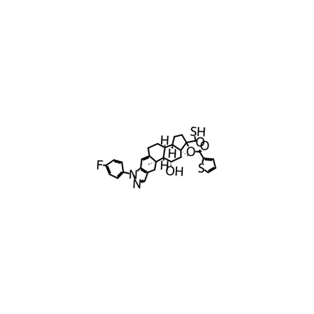 C[C@]12Cc3cnn(-c4ccc(F)cc4)c3C=C1CC[C@@H]1[C@@H]2[C@@H](O)C[C@@]2(C)[C@H]1CCC2(OC(=O)c1cccs1)C(=O)S